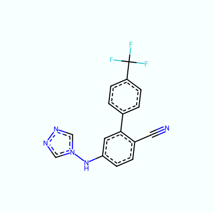 N#Cc1ccc(Nn2cnnc2)cc1-c1ccc(C(F)(F)F)cc1